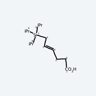 CC(C)[Si](CC=CCCC(=O)O)(C(C)C)C(C)C